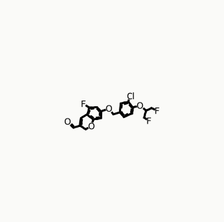 O=CC1=Cc2c(F)cc(OCc3ccc(OC(CF)CF)c(Cl)c3)cc2OC1